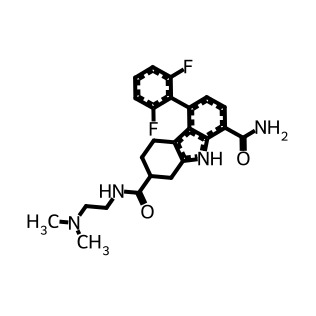 CN(C)CCNC(=O)C1CCc2c([nH]c3c(C(N)=O)ccc(-c4c(F)cccc4F)c23)C1